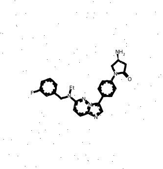 CCN(Cc1cccc(F)c1)c1ccc2ncc(-c3ccc(N4C[C@@H](N)CC4=O)cc3)n2n1